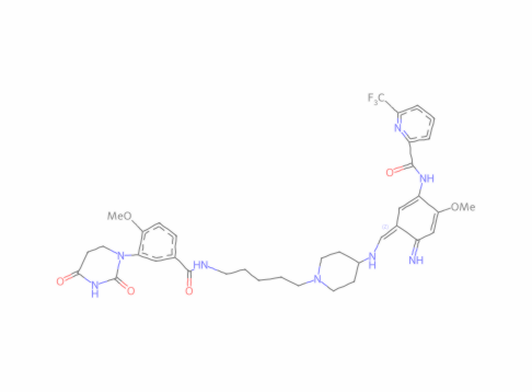 COC1=CC(=N)/C(=C\NC2CCN(CCCCCNC(=O)c3ccc(OC)c(N4CCC(=O)NC4=O)c3)CC2)C=C1NC(=O)c1cccc(C(F)(F)F)n1